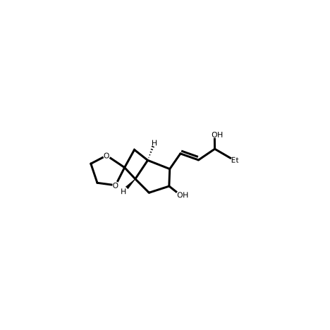 CCC(O)C=CC1C(O)C[C@H]2[C@H]1CC21OCCO1